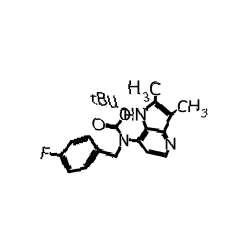 Cc1[nH]c2c(N(Cc3ccc(F)cc3)C(=O)OC(C)(C)C)ccnc2c1C